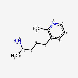 Cc1ncccc1CCC[C@@H](C)N